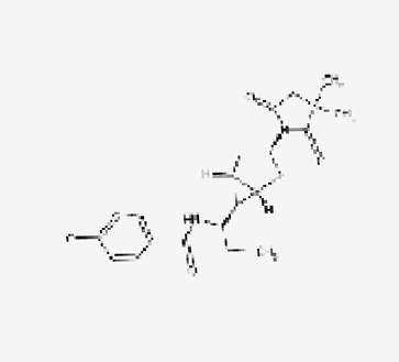 CCC(NC(=O)c1ccc(Cl)cc1)[C@H]1[C@@H]2C[C@@H](N3C(=O)CC(C)(C)C3=O)C[C@@H]21